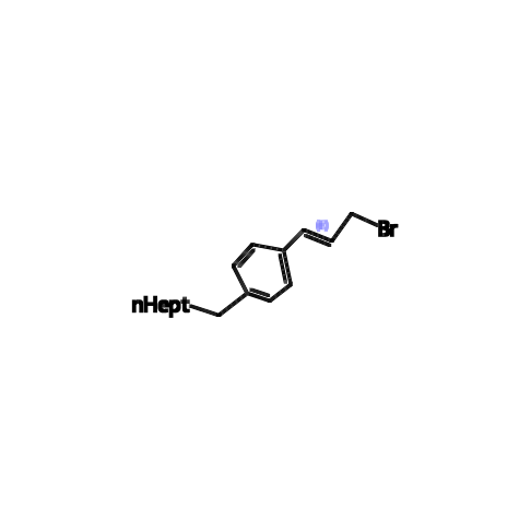 CCCCCCCCc1ccc(/C=C/CBr)cc1